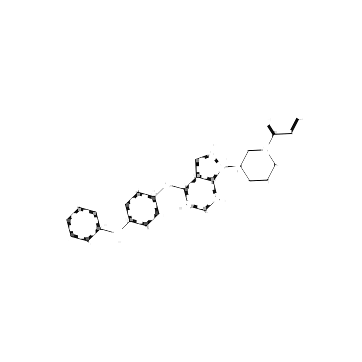 C=CC(=O)N1CCC[C@@H](n2ncc3c(Nc4ccc(Oc5ccccc5)cc4)ncnc32)C1